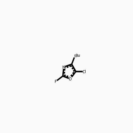 CC(C)(C)c1nc(F)oc1Cl